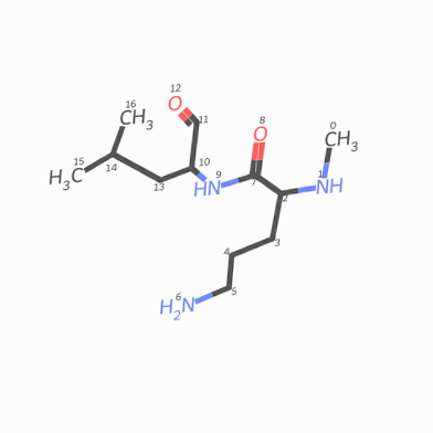 CNC(CCCN)C(=O)NC(C=O)CC(C)C